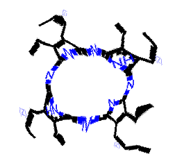 C=C/C=C\C1=C(C=C)c2nc1nc1[nH]c(nc3nc(nc4[nH]c(n2)c(/C=C\C)c4C=C)C(/C=C\C)=C3C=C)c(/C=C\C)c1C=C